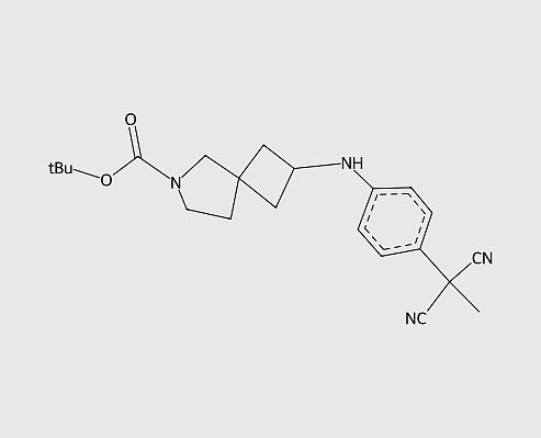 CC(C)(C)OC(=O)N1CCC2(CC(Nc3ccc(C(C)(C#N)C#N)cc3)C2)C1